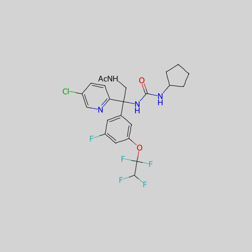 CC(=O)NCC(NC(=O)NC1CCCC1)(c1cc(F)cc(OC(F)(F)C(F)F)c1)c1ccc(Cl)cn1